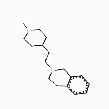 CN1CCC(CCN2CCc3cc[c]cc3C2)CC1